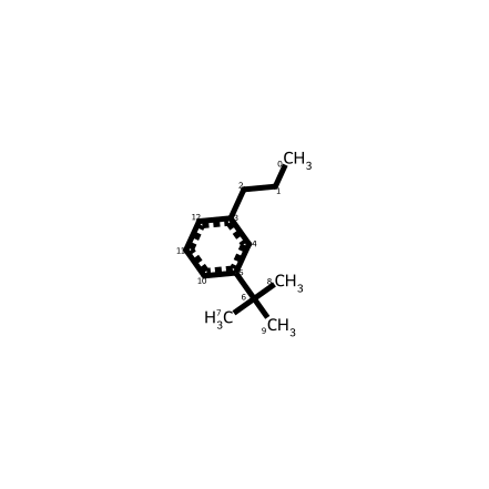 CCCc1[c]c(C(C)(C)C)ccc1